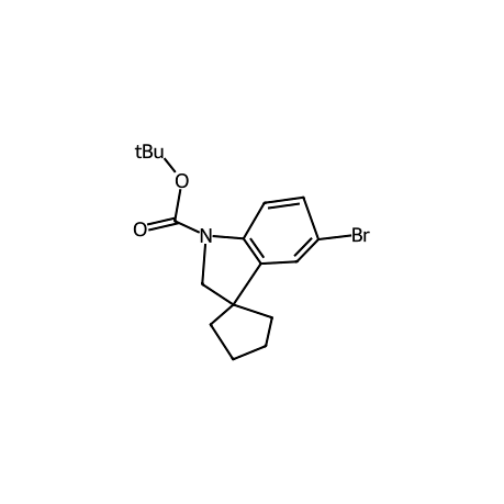 CC(C)(C)OC(=O)N1CC2(CCCC2)c2cc(Br)ccc21